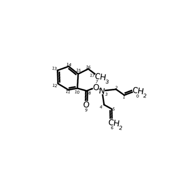 C=CCN(CC=C)OC(=O)c1ccccc1CC